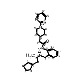 C[C@@H](CC1CCCC1)NCc1ccccc1NC(=O)CN1CCN(c2ncccn2)CC1